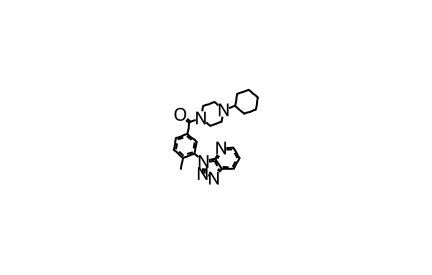 Cc1ccc(C(=O)N2CCN(C3CCCCC3)CC2)cc1-n1nnc2cccnc21